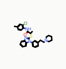 Cc1ccc(NC(=O)C(C)Sc2nc3ccccc3n2-c2cccc(CCN3CCCCC3)c2)c(Cl)c1